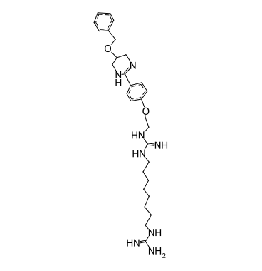 N=C(N)NCCCCCCCCNC(=N)NCCOc1ccc(C2=NCC(OCc3ccccc3)CN2)cc1